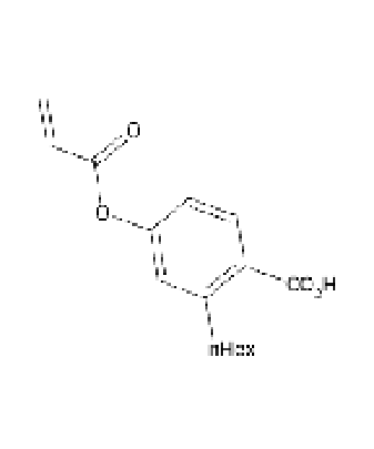 C=CC(=O)Oc1ccc(C(=O)O)c(CCCCCC)c1